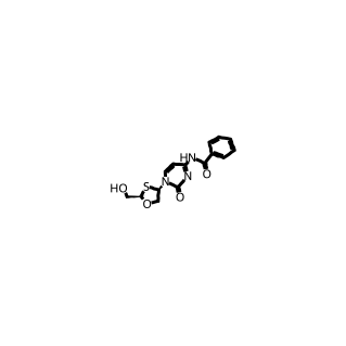 O=C(Nc1ccn([C@H]2CO[C@@H](CO)S2)c(=O)n1)c1ccccc1